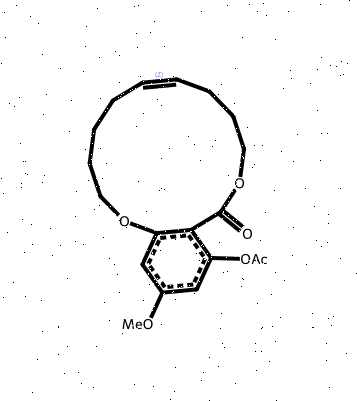 COc1cc2c(c(OC(C)=O)c1)C(=O)OCCC/C=C\CCCCO2